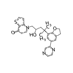 CC(C)(CC(O)Cn1ccc(=O)c2sccc21)c1cc(-c2cnccn2)cc2c1OCC2